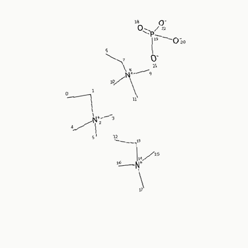 CC[N+](C)(C)C.CC[N+](C)(C)C.CC[N+](C)(C)C.O=P([O-])([O-])[O-]